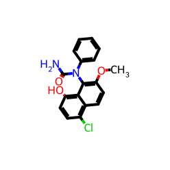 COc1ccc2c(Cl)ccc(O)c2c1N(C(N)=O)c1ccccc1